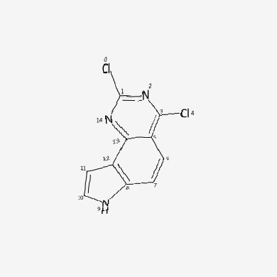 Clc1nc(Cl)c2ccc3[nH]ccc3c2n1